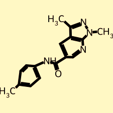 Cc1ccc(NC(=O)c2cnc3c(c2)c(C)nn3C)cc1